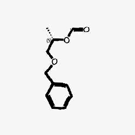 C[C@@H](COCc1ccccc1)O[C]=O